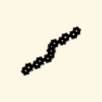 c1ccc2cc(-c3ccc4cc(-c5ccc6oc7cc8c(cc7c6c5)oc5ccc(-c6ccc7cc(-c9ccc%10ccccc%10c9)ccc7c6)cc58)ccc4c3)ccc2c1